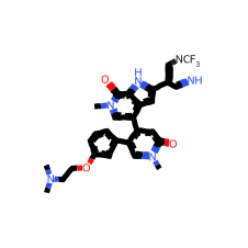 CN(C)CCOc1cccc(-c2cn(C)c(=O)cc2-c2cn(C)c(=O)c3[nH]c(/C(C=N)=C/NC(F)(F)F)cc23)c1